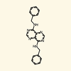 c1ccc(CNc2ncnc3c(NCc4ccccc4)ncnc23)cc1